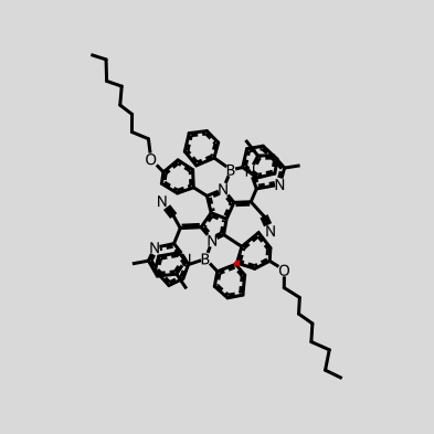 CCCCCCCCOc1ccc(-c2c3/c(=C(\C#N)c4nc(C)cc(C)n4)n(B(c4ccccc4)c4ccccc4)c(-c4ccc(OCCCCCCCC)cc4)c3/c(=C(\C#N)c3nc(C)cc(C)n3)n2B(c2ccccc2)c2ccccc2)cc1